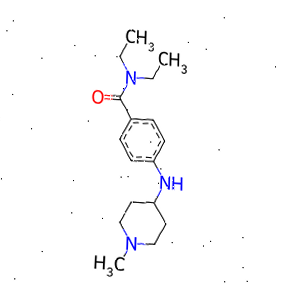 CCN(CC)C(=O)c1ccc(NC2CCN(C)CC2)cc1